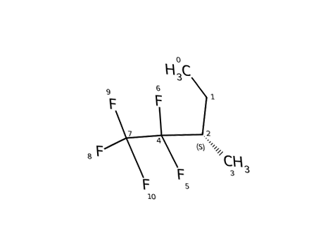 CC[C@H](C)C(F)(F)C(F)(F)F